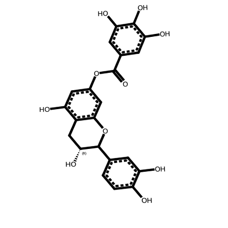 O=C(Oc1cc(O)c2c(c1)OC(c1ccc(O)c(O)c1)[C@H](O)C2)c1cc(O)c(O)c(O)c1